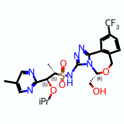 Cc1cnc([C@H](OC(C)C)[C@H](C)S(=O)(=O)Nc2nnc3n2[C@@H](CO)OCc2ccc(C(F)(F)F)cc2-3)nc1